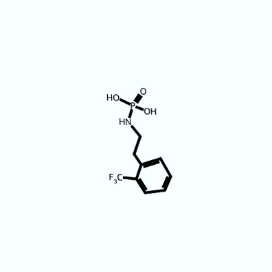 O=P(O)(O)NCCc1ccccc1C(F)(F)F